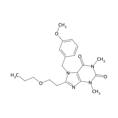 CCCOCCc1nc2c(c(=O)n(C)c(=O)n2C)n1Cc1cccc(OC)c1